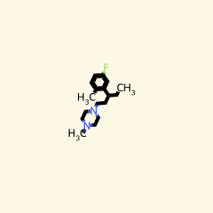 CCC(CCN1CCN(C)CC1)c1cc(F)ccc1C